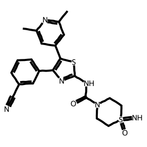 Cc1cc(-c2sc(NC(=O)N3CCS(=N)(=O)CC3)nc2-c2cccc(C#N)c2)cc(C)n1